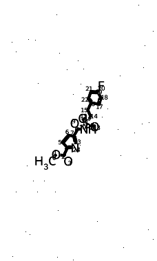 COC(=O)c1ccc(C(=O)NS(=O)(=O)CCc2ccc(F)cc2)cn1